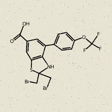 O=C(O)c1cc2c(c(-c3ccc(OC(F)(F)F)cc3)c1)NC(CBr)(CBr)S2